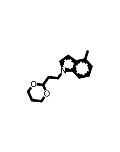 Cc1cccc2c1ccn2CCC1OCCCO1